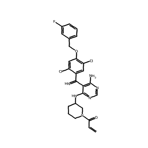 C=CC(=O)N1CCCC(Nc2ncnc(N)c2C(=N)c2cc(Cl)c(OCc3cccc(F)c3)cc2Cl)C1